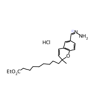 CCOC(=O)CCCCCCCCC1(C)C=Cc2cc(/C=N\N)ccc2O1.Cl